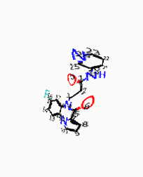 O=C(CCn1c(=O)c2cccn2c2ccc(F)cc21)Nc1cccnc1